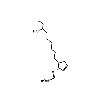 CCCCCCCCC=C[C@H]1C=CC[C@@H]1CCCCCCC(O)CO